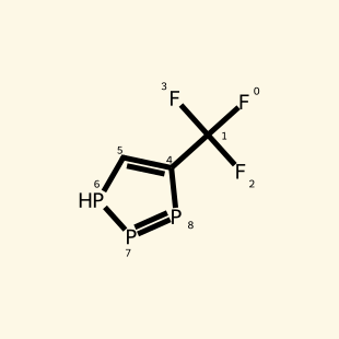 FC(F)(F)c1c[pH]pp1